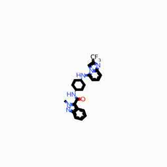 Cn1nc2ccccc2c1C(=O)N[C@H]1CC[C@@H](Nc2cccc3nc(C(F)(F)F)cn23)CC1